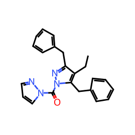 CCc1c(Cc2ccccc2)nn(C(=O)n2cccn2)c1Cc1ccccc1